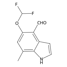 Cc1cc(OC(F)F)c(C=O)c2cc[nH]c12